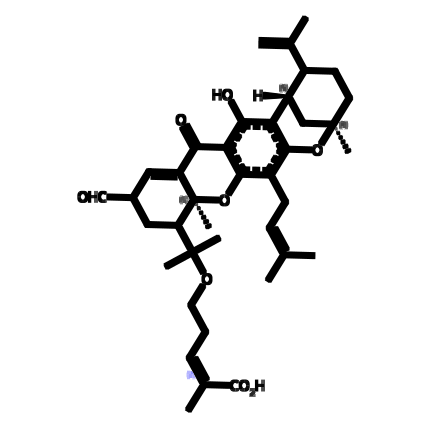 C=C(C)C1CC[C@]2(C)C[C@@H]1c1c(O)c3c(c(CC=C(C)C)c1O2)O[C@]1(C)C(=CC(C=O)CC1C(C)(C)OCC/C=C(/C)C(=O)O)C3=O